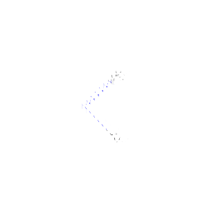 [Mo+6].[Mo+6].[Mo+6].[N-3].[N-3].[N-3].[N-3].[N-3].[N-3].[N-3].[N-3].[N-3].[N-3].[N-3].[Nb+5].[Nb+5].[Nb+5]